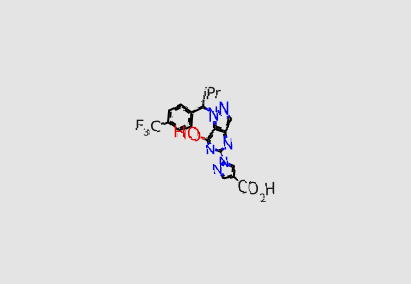 CC(C)C(c1ccc(C(F)(F)F)cc1)n1ncc2nc(-n3cc(C(=O)O)cn3)nc(O)c21